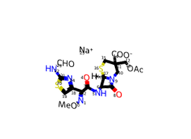 CON=C(C(=O)NC1C(=O)N2CC(COC(C)=O)(C(=O)[O-])CS[C@H]12)c1csc(NC=O)n1.[Na+]